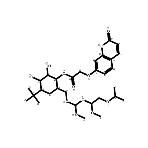 COC(COC(C)C)OC(OC)OCC1CC(C(C)(C)C)C(O)C(O)C1OC(=O)COc1ccc2ccc(=O)oc2c1